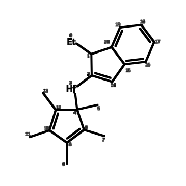 CCC1[C]([Hf][C]2(C)C(C)=C(C)C(C)=C2C)=Cc2ccccc21